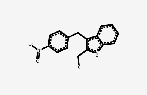 CCc1[nH]c2ccccc2c1Cc1ccc([N+](=O)[O-])cc1